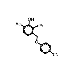 CCCc1c(COc2ccc(C#N)cc2)ccc(C(C)=O)c1O